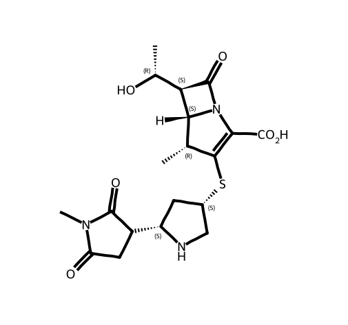 C[C@@H](O)[C@H]1C(=O)N2C(C(=O)O)=C(S[C@@H]3CN[C@H](C4CC(=O)N(C)C4=O)C3)[C@H](C)[C@H]12